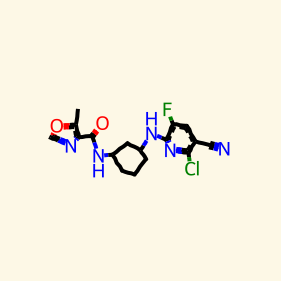 Cc1ocnc1C(=O)NC1CCCC(Nc2nc(Cl)c(C#N)cc2F)C1